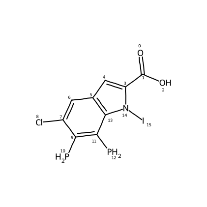 O=C(O)c1cc2cc(Cl)c(P)c(P)c2n1I